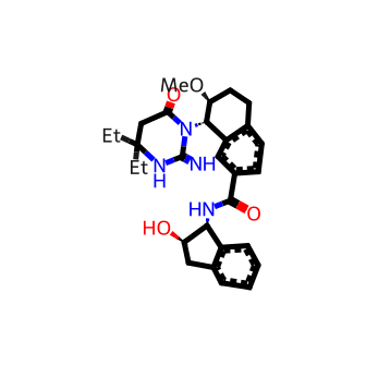 CCC1(CC)CC(=O)N([C@H]2c3cc(C(=O)N[C@@H]4c5ccccc5C[C@H]4O)ccc3CC[C@@H]2OC)C(=N)N1